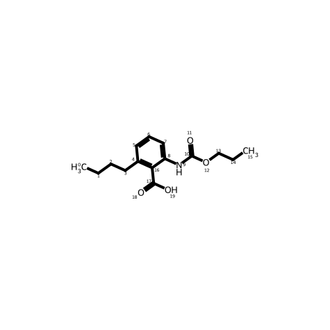 CCCCc1cccc(NC(=O)OCCC)c1C(=O)O